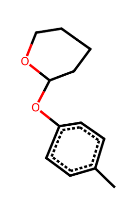 Cc1ccc(OC2CCCCO2)cc1